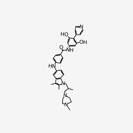 Cc1c(C)n(CC(C)CN2CCN(C)CC2)c2ccc(Nc3ccc(C(=O)Nc4cc(O)c(-c5ccncc5)c(O)c4)cc3)cc12